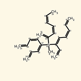 C=C/C=C\C=C(/C=C)S(C)(C(=C)/C=C\C=C/C)C(/C=C\C=C)=C/C=C